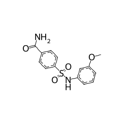 COc1cccc(NS(=O)(=O)c2ccc(C(N)=O)cc2)c1